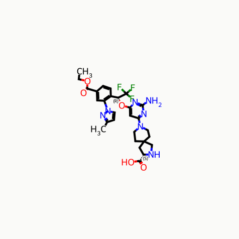 CCOC(=O)c1ccc([C@@H](Oc2cc(N3CCC4(CC3)CN[C@H](C(=O)O)C4)nc(N)n2)C(F)(F)F)c(-n2ccc(C)n2)c1